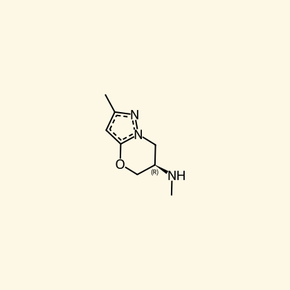 CN[C@H]1COc2cc(C)nn2C1